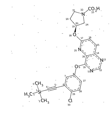 C[Si](C)(C)C#Cc1cc(Oc2ncnc3ccc(O[C@H]4CCN(C(=O)O)C4)nc23)ccc1Cl